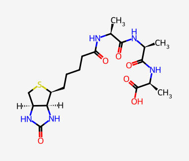 C[C@H](NC(=O)[C@H](C)NC(=O)[C@H](C)NC(=O)CCCC[C@@H]1SC[C@@H]2NC(=O)N[C@@H]21)C(=O)O